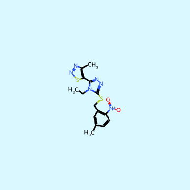 CCn1c(SCc2cc(C)ccc2[N+](=O)[O-])nnc1-c1snnc1C